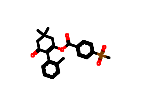 Cc1ccccc1C1=C(OC(=O)c2ccc(S(C)(=O)=O)cc2)CC(C)(C)CC1=O